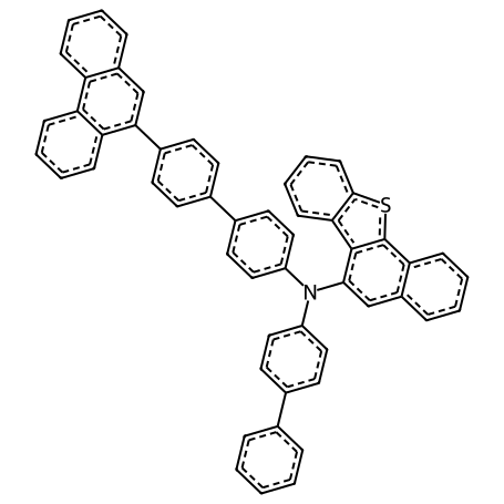 c1ccc(-c2ccc(N(c3ccc(-c4ccc(-c5cc6ccccc6c6ccccc56)cc4)cc3)c3cc4ccccc4c4sc5ccccc5c34)cc2)cc1